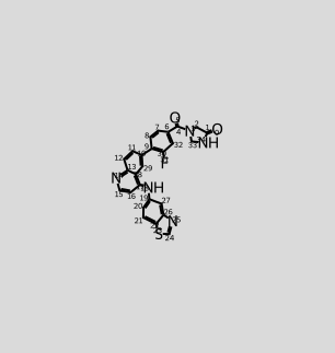 O=C1CN(C(=O)c2ccc(-c3ccc4nccc(Nc5ccc6scnc6c5)c4c3)c(F)c2)CN1